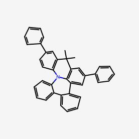 CC1(C)c2cc(-c3ccccc3)ccc2N2c3ccccc3-c3ccccc3-c3cc(-c4ccccc4)cc1c32